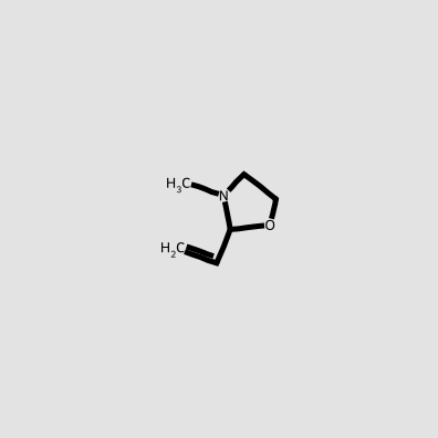 C=CC1OCCN1C